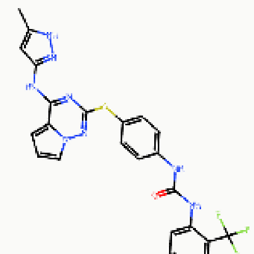 Cc1cc(Nc2nc(Sc3ccc(NC(=O)Nc4ccccc4C(F)(F)F)cc3)nn3cccc23)n[nH]1